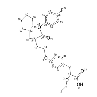 CCOC(Cc1ccc(OCCN(CC2CCCCC2)C(=O)Oc2ccc(F)cc2)cc1)C(=O)O